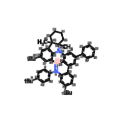 CC(C)(C)c1ccc(Nc2cc(C(C)(C)C)ccc2-c2cc(-c3ccccc3)cc3c2Bc2cc(C(C)(C)C)cc4c2N3C2(C)CCCCC42C)cc1